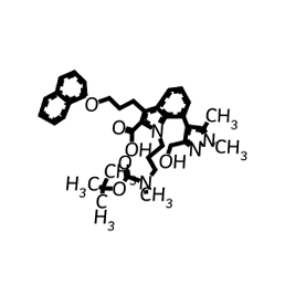 Cc1c(-c2cccc3c(CCCOc4cccc5ccccc45)c(C(=O)O)n(CCCN(C)C(=O)OC(C)(C)C)c23)c(CO)nn1C